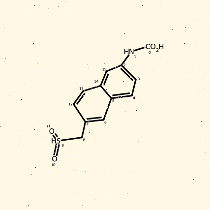 O=C(O)Nc1ccc2cc(C[SH](=O)=O)ccc2c1